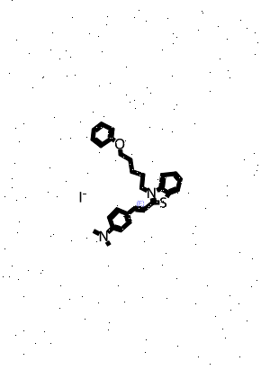 CN(C)c1ccc(/C=C/c2sc3ccccc3[n+]2CCCCCOc2ccccc2)cc1.[I-]